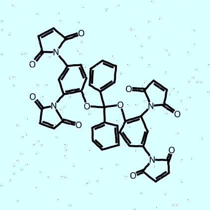 O=C1C=CC(=O)N1c1ccc(OC(Oc2ccc(N3C(=O)C=CC3=O)cc2N2C(=O)C=CC2=O)(c2ccccc2)c2ccccc2)c(N2C(=O)C=CC2=O)c1